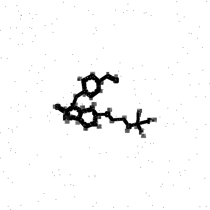 O=Cc1ccc(Cn2c(=O)[nH]c3cnc(OCCOC(F)(F)F)nc32)cc1